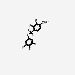 O=Cc1ccc(C(F)(F)Oc2cc(F)c(F)c(F)c2)c(F)c1F